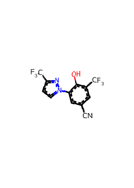 N#Cc1cc(-n2ccc(C(F)(F)F)n2)c(O)c(C(F)(F)F)c1